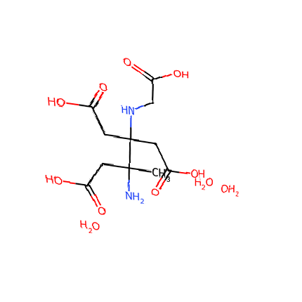 CC(N)(CC(=O)O)C(CC(=O)O)(CC(=O)O)NCC(=O)O.O.O.O